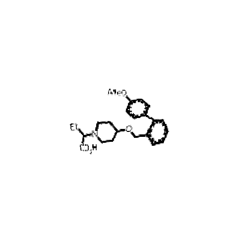 CCC(C(=O)O)N1CCC(OCc2ccccc2-c2ccc(OC)cc2)CC1